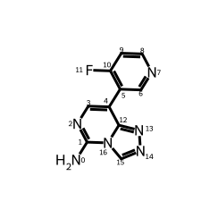 Nc1ncc(-c2cnccc2F)c2nncn12